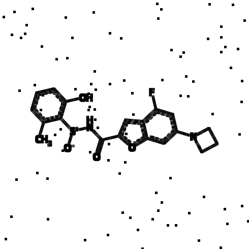 Cc1cccc(O)c1[S+]([O-])NC(=O)c1cc2c(F)cc(N3CCC3)cc2o1